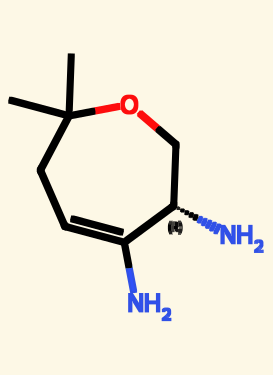 CC1(C)CC=C(N)[C@@H](N)CO1